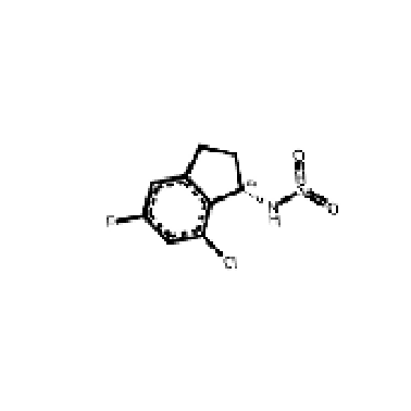 O=[SH](=O)N[C@H]1CCc2cc(F)cc(Cl)c21